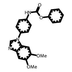 COc1cc2ncn(-c3ccc(NC(=O)Oc4ccccc4)cc3)c2cc1OC